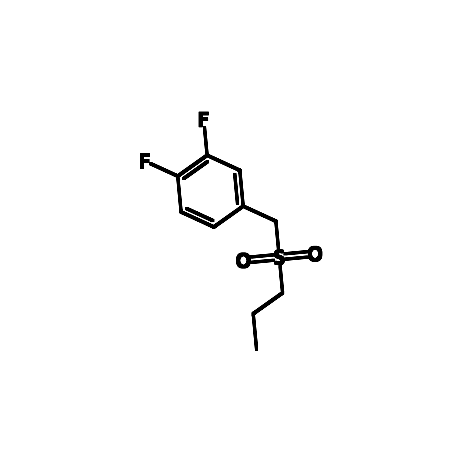 CCCS(=O)(=O)Cc1ccc(F)c(F)c1